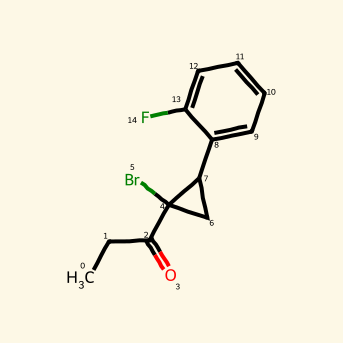 CCC(=O)C1(Br)CC1c1ccccc1F